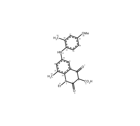 CCN1C(=O)C(C(=O)O)C(=O)c2cc(Nc3ccc(OC)cc3C)cc(C)c21